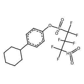 O=[SH](=O)C(F)(F)C(F)(F)C(F)(F)S(=O)(=O)Oc1ccc(C2CCCCC2)cc1